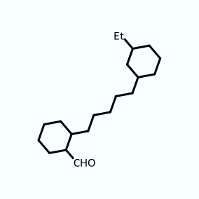 CCC1CCCC(CCCCCC2CCCCC2C=O)C1